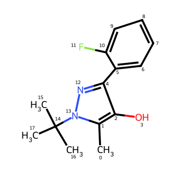 Cc1c(O)c(-c2ccccc2F)nn1C(C)(C)C